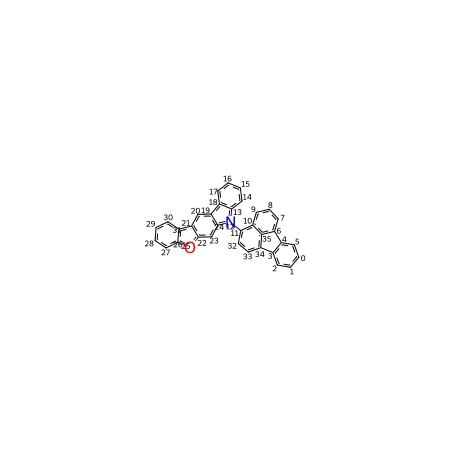 c1ccc2c(c1)-c1cccc3c(-n4c5ccccc5c5cc6c(cc54)oc4ccccc46)ccc-2c13